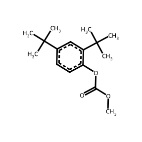 COC(=O)Oc1ccc(C(C)(C)C)cc1C(C)(C)C